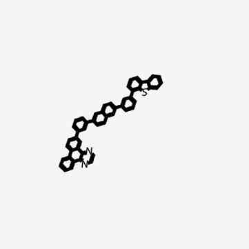 c1cc(-c2ccc3cc(-c4cccc(-c5cccc6c5sc5ccccc56)c4)ccc3c2)cc(-c2ccc3c4ccccc4c4nccnc4c3c2)c1